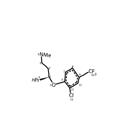 CCC[C@@H](CCNC)Oc1ccc(C(F)(F)F)cc1Cl